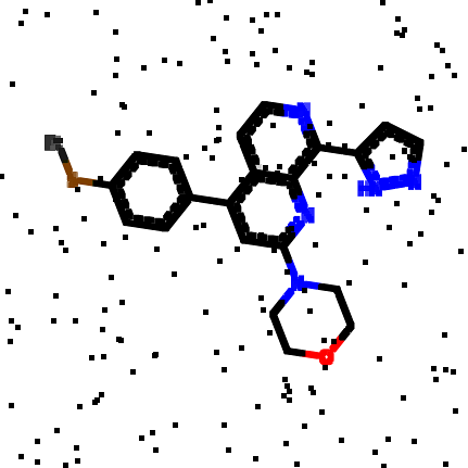 CCSc1ccc(-c2cc(N3CCOCC3)nc3c(-c4ccn[nH]4)nccc23)cc1